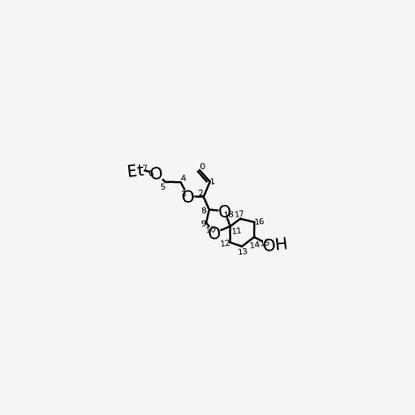 C=CC(OCCOCC)C1COC2(CCC(O)CC2)O1